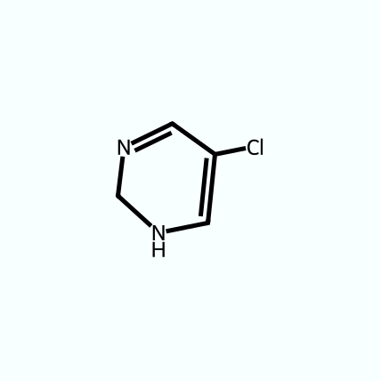 ClC1=CNCN=C1